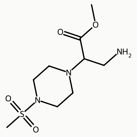 COC(=O)C(CN)N1CCN(S(C)(=O)=O)CC1